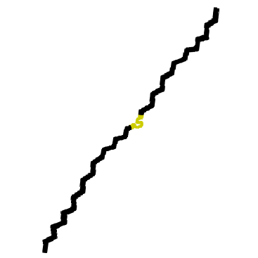 CCCCCCCCCCCCCCCCCCSCCCCCCCCCCCCCCC